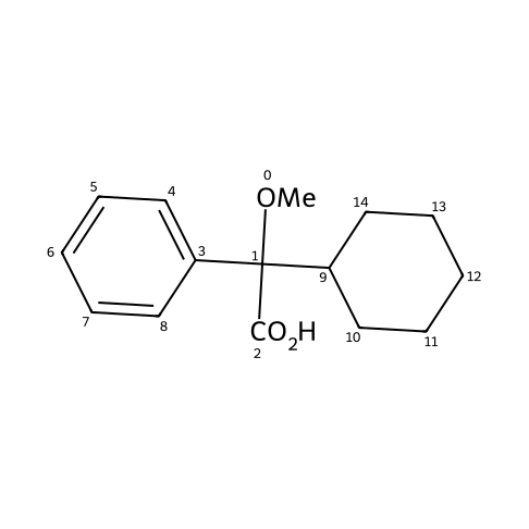 COC(C(=O)O)(c1ccccc1)C1CCCCC1